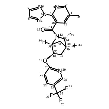 Cc1cnc(-n2nccn2)c(C(=O)N2[C@H](C)[C@H]3C[C@@H](Oc4ccc(C(F)(F)F)cn4)[C@@H]2C3)c1